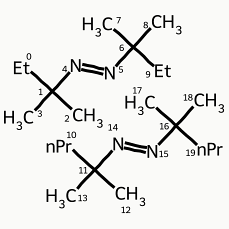 CCC(C)(C)N=NC(C)(C)CC.CCCC(C)(C)N=NC(C)(C)CCC